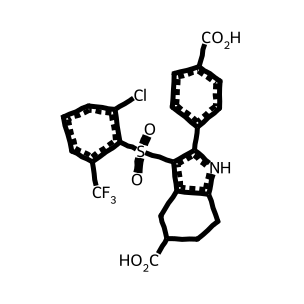 O=C(O)c1ccc(-c2[nH]c3c(c2S(=O)(=O)c2c(Cl)cccc2C(F)(F)F)CC(C(=O)O)CC3)cc1